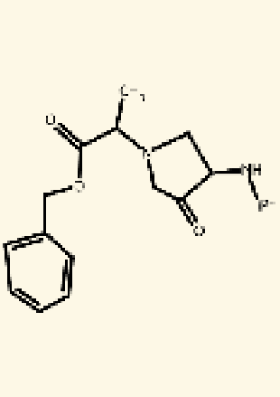 CC(C)N[C@@H]1CN(C(C)C(=O)OCc2ccccc2)CC1=O